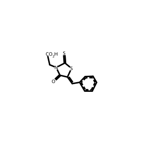 O=C(O)CN1C(=O)C(=Cc2ccccc2)SC1=S